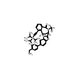 [2H]C([2H])([2H])N1C(=O)c2cccc(C#C[Si](C(C)C)(C(C)C)C(C)C)c2[C@H]2C[C@@H]1c1nc3ccc(-c4ccc(CN)cn4)cc3n12